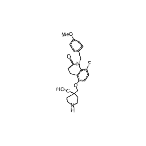 COc1ccc(CN2C(=O)CCc3c(OCC4(CO)CCNCC4)ccc(F)c32)cc1